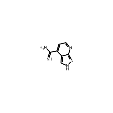 N=C(N)c1ccnc2n[nH]cc12